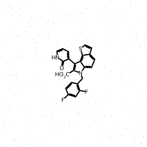 O=C(O)c1c(-c2ccc[nH]c2=O)c2c3sccc3ccc2n1Cc1ccc(F)cc1F